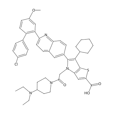 CCN(CC)C1CCN(C(=O)Cn2c(-c3ccc4nc(-c5cc(OC)ccc5-c5ccc(Cl)cc5)ccc4c3)c(C3CCCCC3)c3sc(C(=O)O)cc32)CC1